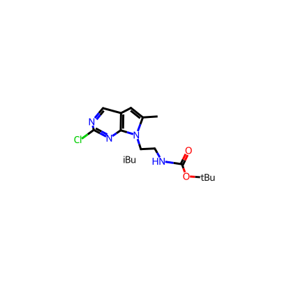 CC[C@H](C)C(CNC(=O)OC(C)(C)C)n1c(C)cc2cnc(Cl)nc21